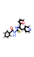 O=C(Nc1nc(-c2ccco2)c(-c2ccncc2)s1)C1CCCCC1